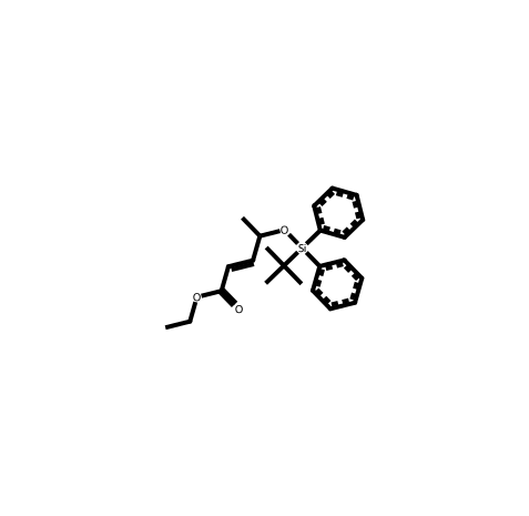 CCOC(=O)C=CC(C)O[Si](c1ccccc1)(c1ccccc1)C(C)(C)C